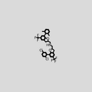 Cc1cccc(C)c1-c1cc(C(F)(F)F)cc2c1OC(CNCC1Cc3cc(C(F)(F)F)cc(-c4cc(Cl)ccc4Cl)c3O1)C2